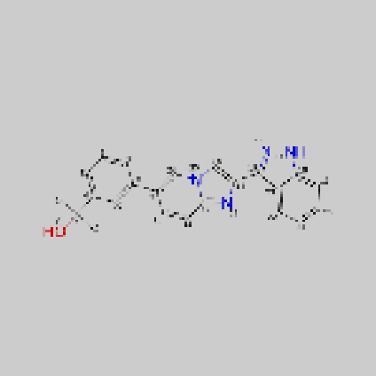 CC(C)(O)c1cccc(-c2ccc3nc(-c4n[nH]c5ccccc45)cn3c2)c1